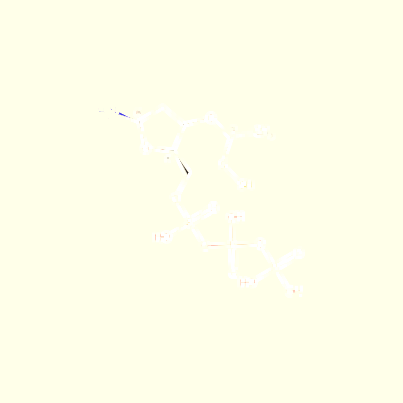 C[C@@H](OC1C[C@H](N)O[C@@H]1COP(=O)(O)OP(=O)(O)OP(=O)(O)O)SS